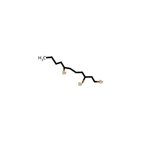 CCCCC(Br)CCCC(Br)CCBr